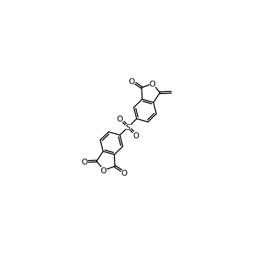 C=C1OC(=O)c2cc(S(=O)(=O)c3ccc4c(c3)C(=O)OC4=O)ccc21